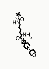 CC(C)(C)OC(=O)NCCCC[C@@H](N)C(=O)N1CC2(CCN(C3CCOCC3)CC2)C1